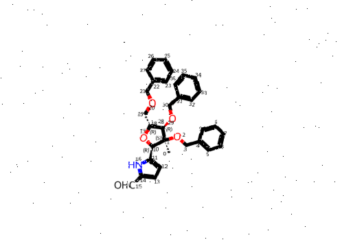 C[C@]1(OCc2ccccc2)[C@@H](c2ccc(C=O)[nH]2)O[C@H](COCc2ccccc2)[C@H]1OCc1ccccc1